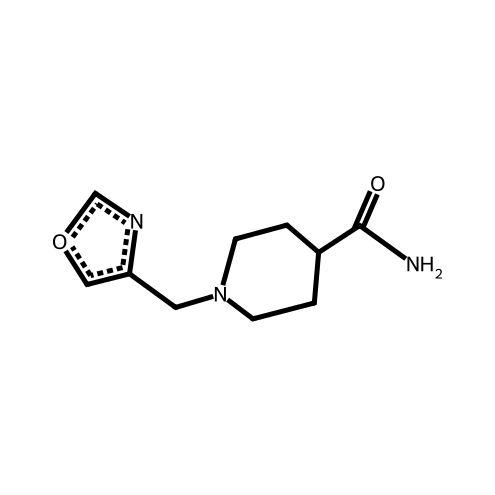 NC(=O)C1CCN(Cc2cocn2)CC1